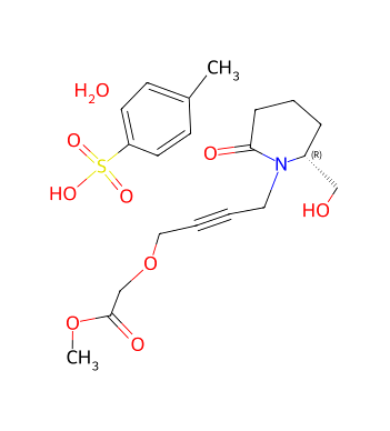 COC(=O)COCC#CCN1C(=O)CCC[C@@H]1CO.Cc1ccc(S(=O)(=O)O)cc1.O